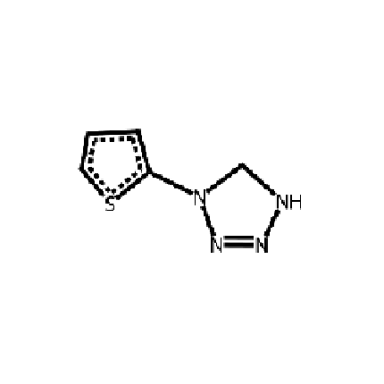 c1csc(N2CNN=N2)c1